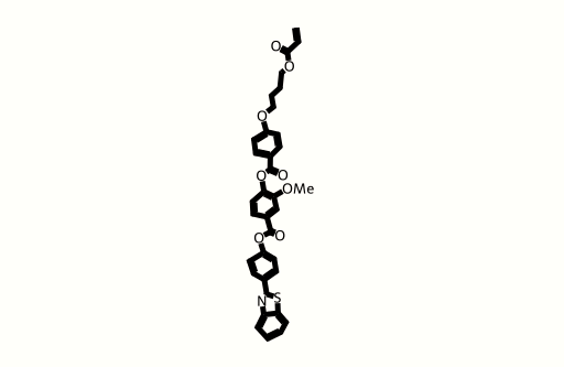 C=CC(=O)OCCCCOc1ccc(C(=O)Oc2ccc(C(=O)Oc3ccc(-c4nc5ccccc5s4)cc3)cc2OC)cc1